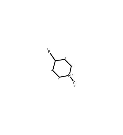 FC1CCN(Cl)CC1